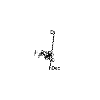 CC/C=C/C=C/C=C/C=C/CCCCCCCC(=O)O[C@H](COC(=O)CCCCCCCCCCCCCCC)COP(=O)(O)OCC[N+](C)(C)C